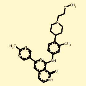 COCCN1CCC(c2ccc(Nc3nc(-c4cnc(C)nc4)cc4cc[nH]c(=O)c34)cc2C)CC1